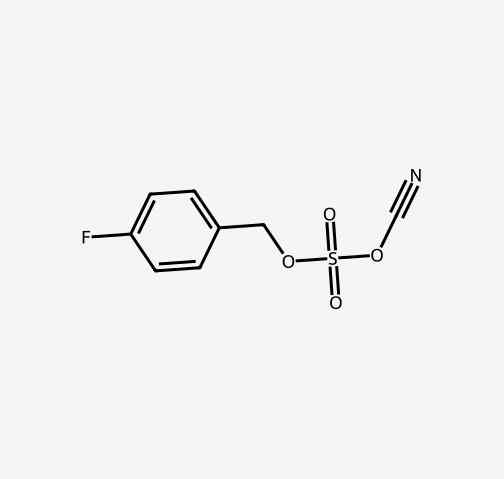 N#COS(=O)(=O)OCc1ccc(F)cc1